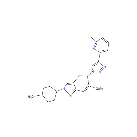 COc1cc2nn(C3CCC(C)CC3)cc2cc1-n1cc(-c2cccc(C(F)(F)F)n2)nn1